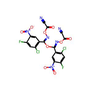 N#CC(=O)ON=C(OC(=NOC(=O)C#N)c1cc([N+](=O)[O-])c(F)cc1Cl)c1cc([N+](=O)[O-])c(F)cc1Cl